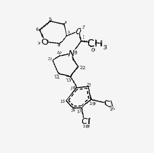 CC(OC1CCCOC1)N1CCCC(c2ccc(Cl)c(Cl)c2)C1